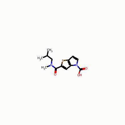 CC(C)CN(C)C(=O)c1cc2c(ccn2C(=O)O)s1